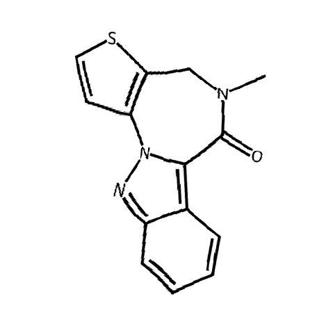 CN1Cc2sccc2-n2nc3ccccc3c2C1=O